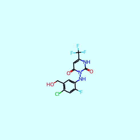 O=c1cc(C(F)(F)F)[nH]c(=O)n1Nc1cc(CO)c(Cl)cc1F